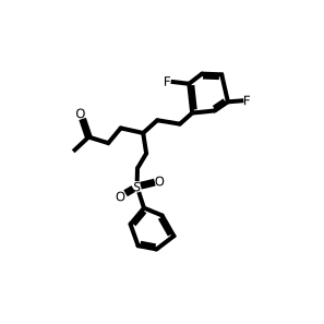 CC(=O)CCC(CCc1cc(F)ccc1F)CCS(=O)(=O)c1ccccc1